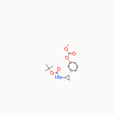 COC(=O)Oc1cccc([C@@H]2C[C@H]2NC(=O)OC(C)(C)C)c1